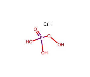 O=P(O)(O)OO.[CsH]